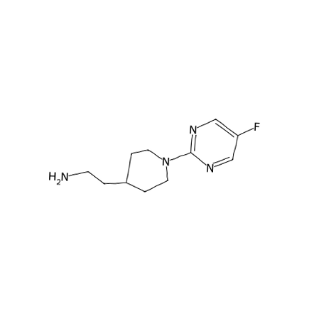 NCCC1CCN(c2ncc(F)cn2)CC1